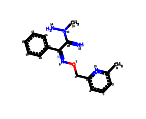 Cc1cccc(CO/N=C(\C(=N)N(C)N)c2ccccc2)n1